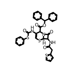 O=C(Cc1cccs1)NC1C(=O)N2C(C(=O)OC(c3ccccc3)c3ccccc3)C(NC(=O)Sc3ccccc3)=CS[C@H]12